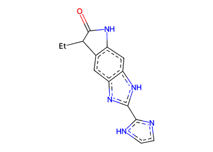 CCC1C(=O)Nc2cc3[nH]c(-c4ncc[nH]4)nc3cc21